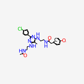 COc1ccc(CC(=O)NCCNc2nc(-c3ccc(Cl)cc3)nc(NCCNC(C)=O)c2C)cc1